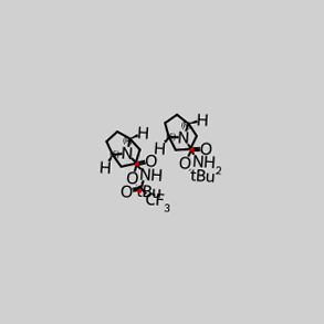 CC(C)(C)OC(=O)N1[C@@H]2CC[C@H]1CC(N)C2.CC(C)(C)OC(=O)N1[C@@H]2CC[C@H]1CC(NC(=O)C(F)(F)F)C2